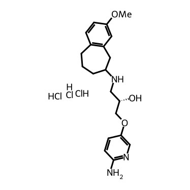 COc1ccc2c(c1)CC(NC[C@H](O)COc1ccc(N)nc1)CCC2.Cl.Cl.Cl